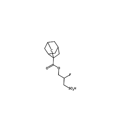 O=C(OCC(F)CS(=O)(=O)O)C12CC3CC(CC1C3)C2